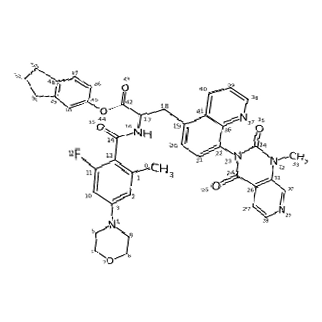 Cc1cc(N2CCOCC2)cc(F)c1C(=O)NC(Cc1ccc(-n2c(=O)c3ccncc3n(C)c2=O)c2ncccc12)C(=O)Oc1ccc2c(c1)CCC2